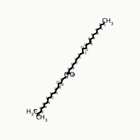 CCCCCCCCC=CCCCCCCCCCCCC(=O)OCCCCCCCCCCCCCCCC(C)C